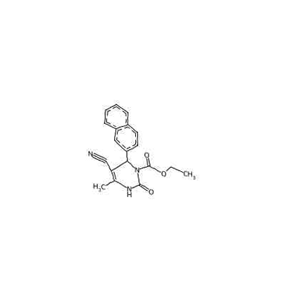 CCOC(=O)N1C(=O)NC(C)=C(C#N)C1c1ccc2ccccc2c1